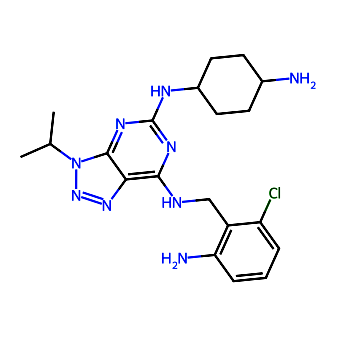 CC(C)n1nnc2c(NCc3c(N)cccc3Cl)nc(NC3CCC(N)CC3)nc21